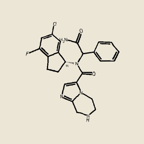 NC(=O)C(c1ccccc1)N(C(=O)c1cnc2n1CCNC2)[C@@H]1CCc2c(F)cc(Cl)cc21